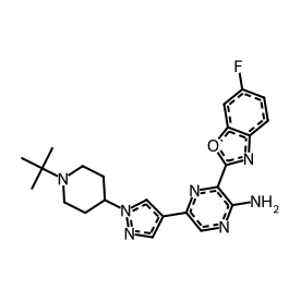 CC(C)(C)N1CCC(n2cc(-c3cnc(N)c(-c4nc5ccc(F)cc5o4)n3)cn2)CC1